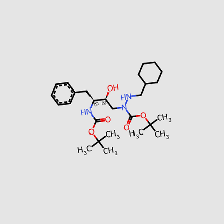 CC(C)(C)OC(=O)N[C@@H](Cc1ccccc1)[C@@H](O)CN(NCC1CCCCC1)C(=O)OC(C)(C)C